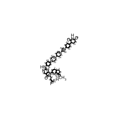 CC[C@@]1(O)CCc2ccc(-n3c4nc(Nc5ccc(N6CCN(C7CCN(C8CN(c9ccc(C%10CCC(=O)NC%10=O)cc9)C8)CC7)CC6)cc5)ncc4c(=O)n3CC=C(F)F)nc21